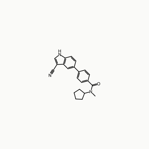 CN(C(=O)c1ccc(-c2ccc3[nH]cc(C#N)c3c2)cc1)C1CCCC1